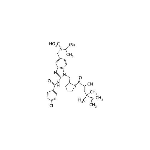 CC(N(Cc1ccc2c(c1)nc(NC(=O)c1ccc(Cl)cc1)n2CC1CCCN1C(=O)C(C#N)=CC(C)(C)N(C)C)C(=O)O)C(C)(C)C